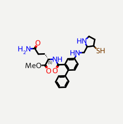 COC(=O)[C@H](CCC(N)=O)NC(=O)c1cc(NCC2NCCC2S)ccc1-c1ccccc1